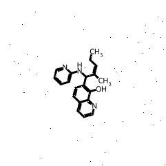 CC/C=C(/C)C(Nc1ccccn1)c1ccc2cccnc2c1O